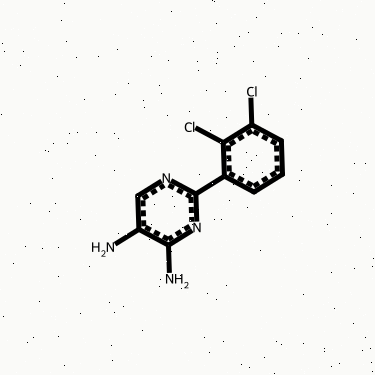 Nc1cnc(-c2cccc(Cl)c2Cl)nc1N